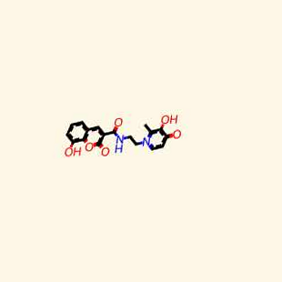 Cc1c(O)c(=O)ccn1CCNC(=O)c1cc2cccc(O)c2oc1=O